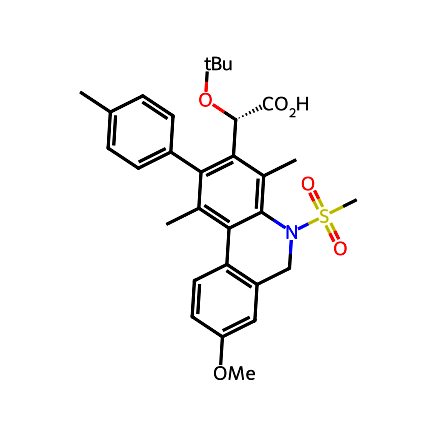 COc1ccc2c(c1)CN(S(C)(=O)=O)c1c(C)c([C@H](OC(C)(C)C)C(=O)O)c(-c3ccc(C)cc3)c(C)c1-2